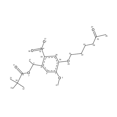 COc1cc(C(C)OC(=O)C(C)(C)C)c([N+](=O)[O-])cc1OCCCCC(C)=O